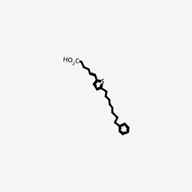 O=C(O)CCC/C=C/c1ccc(CCCCCCCCc2ccccc2)s1